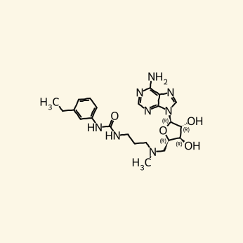 CCc1cccc(NC(=O)NCCCN(C)C[C@H]2O[C@@H](n3cnc4c(N)ncnc43)[C@H](O)[C@H]2O)c1